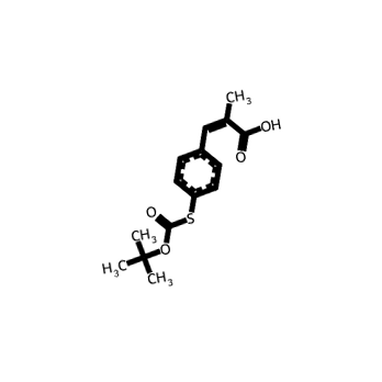 CC(=Cc1ccc(SC(=O)OC(C)(C)C)cc1)C(=O)O